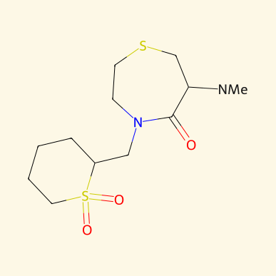 CNC1CSCCN(CC2CCCCS2(=O)=O)C1=O